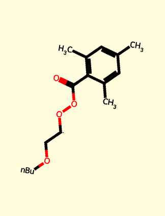 CCCCOC[CH]OOC(=O)c1c(C)cc(C)cc1C